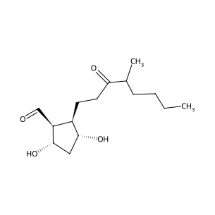 CCCCC(C)C(=O)CC[C@@H]1[C@H](C=O)[C@@H](O)C[C@H]1O